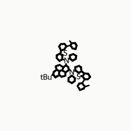 Cc1ccccc1-c1cccc2c1sc1c(N(c3ccccc3)c3cc(N(c4ccccc4)c4cccc5c4sc4c(-c6ccccc6C)cccc45)c4ccc5cc(C(C)(C)C)cc6ccc3c4c65)cccc12